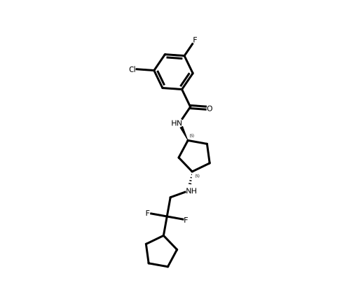 O=C(N[C@H]1CC[C@H](NCC(F)(F)C2CCCC2)C1)c1cc(F)cc(Cl)c1